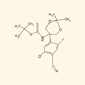 CC(C)(C)OC(=O)NC1(c2cc(Cl)c(C#N)cc2F)COC(C)(C)OC1